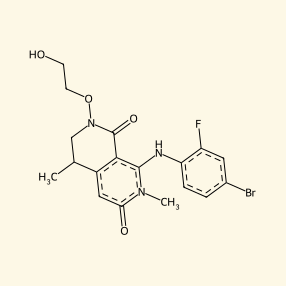 CC1CN(OCCO)C(=O)c2c1cc(=O)n(C)c2Nc1ccc(Br)cc1F